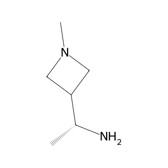 C[C@@H](N)C1CN(C)C1